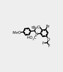 COc1ccc(C(N(C(=O)O)c2cc(OC(F)F)cc(Br)c2Cl)C(C)(C)C)cc1